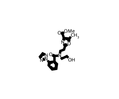 COC(=O)c1nc(CCN(CCO)C(=O)c2ccccc2-n2nccn2)oc1C